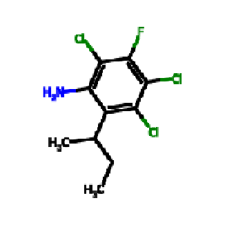 CCC(C)c1c(N)c(Cl)c(F)c(Cl)c1Cl